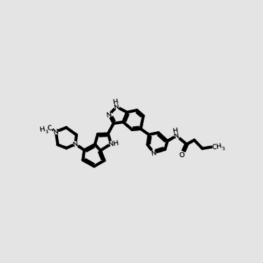 CCCC(=O)Nc1cncc(-c2ccc3[nH]nc(-c4cc5c(N6CCN(C)CC6)cccc5[nH]4)c3c2)c1